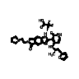 C[C@@H](Cc1ccco1)Nc1cc[nH]c(=O)c1-c1nc2cc3c(cc2[nH]1)CN(CCN1CCCC1)C3=O.O=C(O)C(F)(F)F